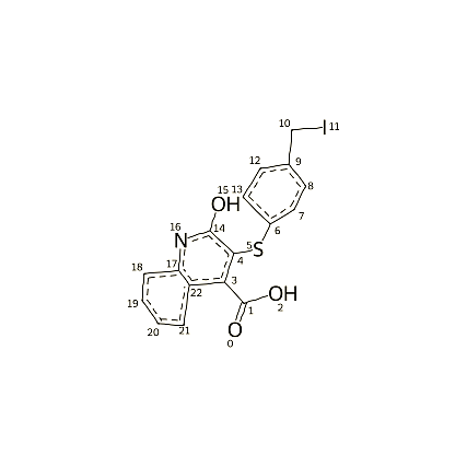 O=C(O)c1c(Sc2ccc(CI)cc2)c(O)nc2ccccc12